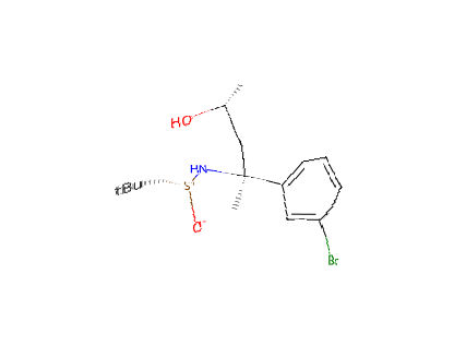 C[C@@H](O)C[C@](C)(N[S@+]([O-])C(C)(C)C)c1cccc(Br)c1